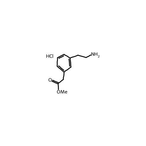 COC(=O)Cc1cccc(CCN)c1.Cl